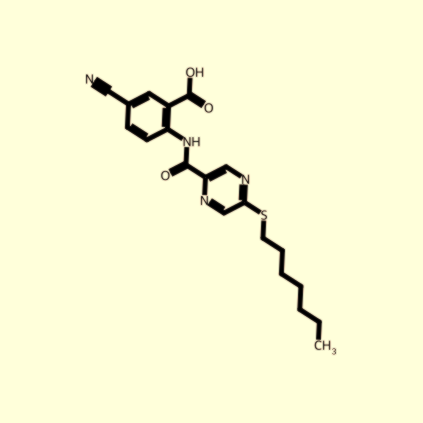 CCCCCCCSc1cnc(C(=O)Nc2ccc(C#N)cc2C(=O)O)cn1